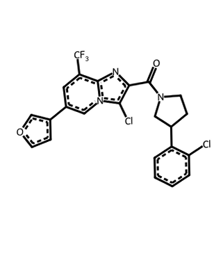 O=C(c1nc2c(C(F)(F)F)cc(-c3ccoc3)cn2c1Cl)N1CCC(c2ccccc2Cl)C1